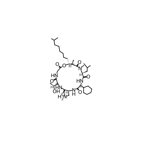 CC(C)CCCCCC[C@H]1OC(=O)CNC(=O)[C@H]([C@H](C)O)NC(=O)[C@H](CN)NC(=O)[C@H](C2CCCCC2)NC(=O)[C@H](CC(C)C)N(C)C(=O)[C@@H]1C